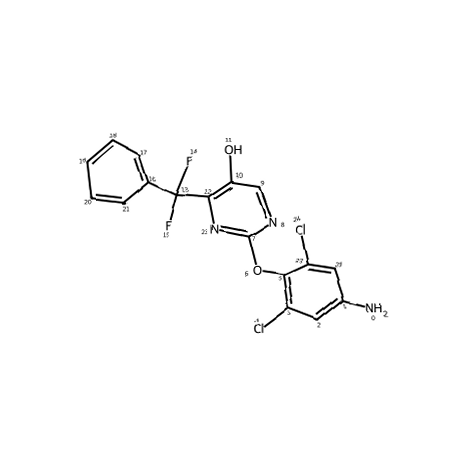 Nc1cc(Cl)c(Oc2ncc(O)c(C(F)(F)c3ccccc3)n2)c(Cl)c1